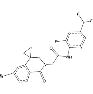 O=C(CN1CC2(CC2)c2cc(Br)ccc2C1=O)Nc1ncc(C(F)F)cc1F